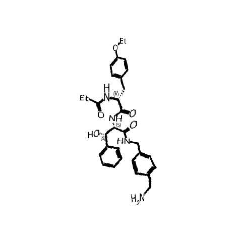 CCOc1ccc(C[C@@H](NC(=O)CC)C(=O)N[C@H](C(=O)NCc2ccc(CN)cc2)[C@@H](O)c2ccccc2)cc1